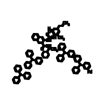 C=CCc1cc(C)c(NC(=O)Nc2cc3ccccc3cc2C(=O)NC(C(=O)O)C2CCCCC2)c(C)c1.[Pd].c1ccc(P(c2ccccc2)c2ccccc2)cc1.c1ccc(P(c2ccccc2)c2ccccc2)cc1.c1ccc(P(c2ccccc2)c2ccccc2)cc1.c1ccc(P(c2ccccc2)c2ccccc2)cc1